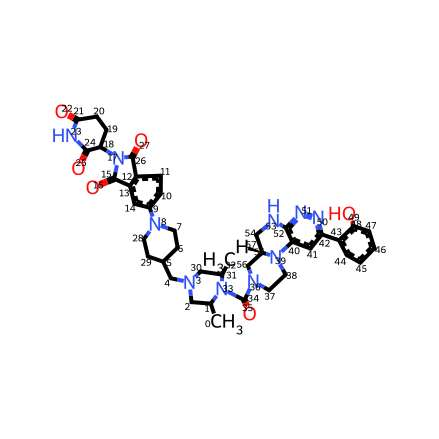 CC1CN(CC2CCN(c3ccc4c(c3)C(=O)N(C3CCC(=O)NC3=O)C4=O)CC2)CC(C)N1C(=O)N1CCN2c3cc(-c4ccccc4O)nnc3NC[C@H]2C1